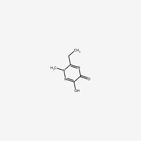 CCc1nc(=O)c(O)nn1C